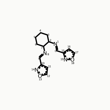 C(=N\C1CCCCC1/N=C/c1ccon1)/c1ccon1